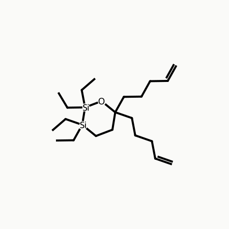 C=CCCCC1(CCCC=C)CC[Si](CC)(CC)[Si](CC)(CC)O1